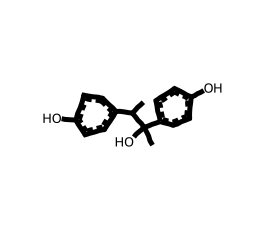 CC(c1ccc(O)cc1)C(C)(O)c1ccc(O)cc1